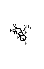 NC[C@@]1(CC(=O)O)[C@@H]2C[C@H]3C[C@@H]2[C@@H]1C3